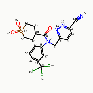 N#Cc1ccc(CN(C(=O)C2CCS(=O)(=O)CC2)c2cccc(C(F)(F)F)c2)nn1